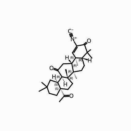 [C-]#[N+]C1=C[C@]2(C)[C@H]3CC(=O)[C@@H]4[C@@H]5CC(C)(C)CC[C@]5(C(C)=O)CC[C@@]4(C)[C@]3(C)CC[C@H]2C(C)(C)C1=O